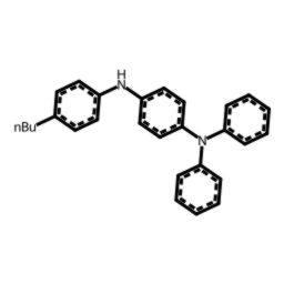 CCCCc1ccc(Nc2ccc(N(c3ccccc3)c3ccccc3)cc2)cc1